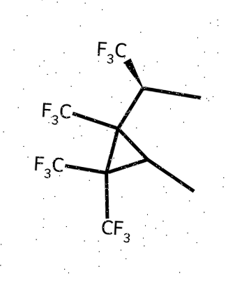 CC1C([C@H](C)C(F)(F)F)(C(F)(F)F)C1(C(F)(F)F)C(F)(F)F